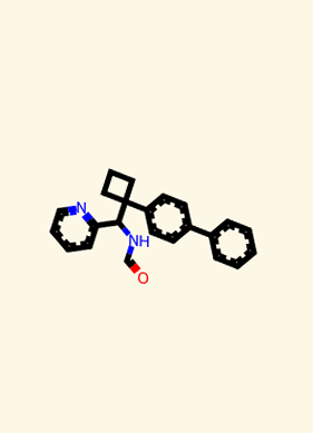 O=CNC(c1ccccn1)C1(c2ccc(-c3ccccc3)cc2)CCC1